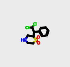 O=S1(=O)CCNCC1C([C](Cl)Cl)c1ccccc1